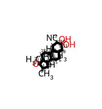 C[C@H]1C[C@H]2[C@@H]3CCC4=CC(O)(O)C(C#N)C[C@]4(C)[C@H]3CC[C@]2(C)C1=O